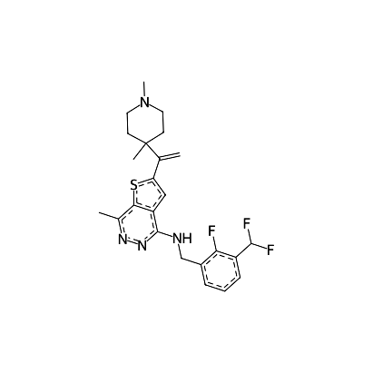 C=C(c1cc2c(NCc3cccc(C(F)F)c3F)nnc(C)c2s1)C1(C)CCN(C)CC1